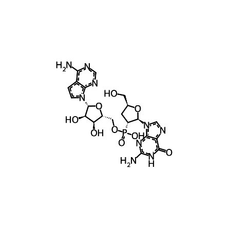 Nc1nc2c(ncn2[C@@H]2O[C@H](CO)C[C@H]2P(=O)(O)OC[C@H]2O[C@@H](n3ccc4c(N)ncnc43)[C@H](O)[C@@H]2O)c(=O)[nH]1